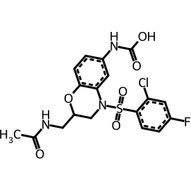 CC(=O)NCC1CN(S(=O)(=O)c2ccc(F)cc2Cl)c2cc(NC(=O)O)ccc2O1